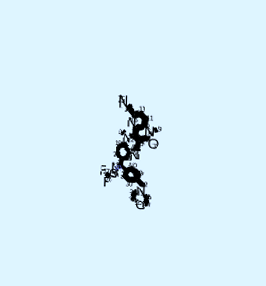 CN(c1c(C#N)c(=O)n(C)c2ccc(C#N)nc12)C1CCC(/C(=N/OC(F)F)c2ccc(CN3CCOCC3)cc2)CC1